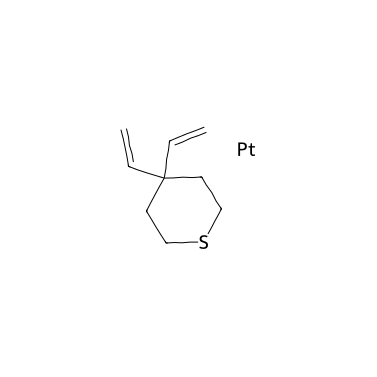 C=CC1(C=C)CCSCC1.[Pt]